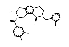 Cc1ncoc1CN1CCn2nc3c(c2C1=O)CN(C(=O)c1ccc(Cl)c(Cl)c1)[C@H](C)C3